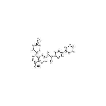 COc1ccc(C2CCN(C)CC2)c2c1CC[C@@H](NC(=O)c1ccc(N3CCOCC3)cc1)C2